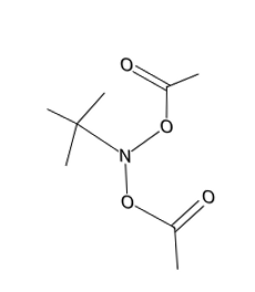 CC(=O)ON(OC(C)=O)C(C)(C)C